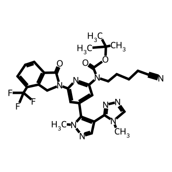 Cn1cnnc1-c1cnn(C)c1-c1cc(N(CCCCC#N)C(=O)OC(C)(C)C)nc(N2Cc3c(cccc3C(F)(F)F)C2=O)c1